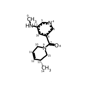 CNc1cncc(C(=O)N2CC=C[C@@H](C)C2)c1